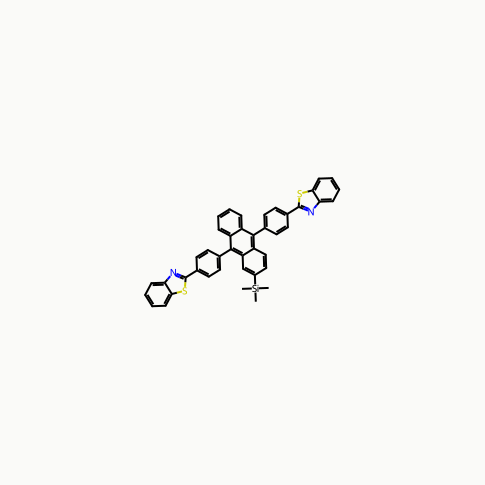 C[Si](C)(C)c1ccc2c(-c3ccc(-c4nc5ccccc5s4)cc3)c3ccccc3c(-c3ccc(-c4nc5ccccc5s4)cc3)c2c1